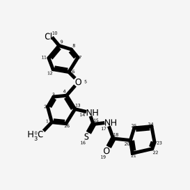 Cc1ccc(Oc2ccc(Cl)cc2)c(NC(=S)NC(=O)c2ccccc2)c1